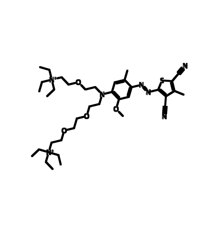 CC[N+](CC)(CC)CCOCCOCCN(CCOCC[N+](CC)(CC)CC)c1cc(C)c(/N=N/c2sc(C#N)c(C)c2C#N)cc1OC